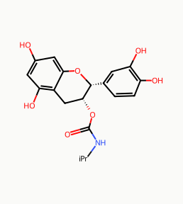 CC(C)NC(=O)O[C@@H]1Cc2c(O)cc(O)cc2O[C@@H]1c1ccc(O)c(O)c1